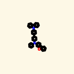 C1=C(c2ccc(-n3c4ccccc4c4ccccc43)cc2)CCC(N(c2ccccc2)c2ccc3c(c2)oc2ccccc23)=C1